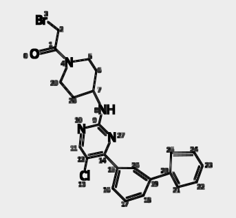 O=C(CBr)N1CCC(Nc2ncc(Cl)c(-c3cccc(-c4ccccc4)c3)n2)CC1